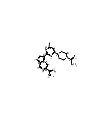 Cc1cc(N2CCN(C(N)=O)CC2)nc(-c2cnc3cnc(C(N)=O)cn23)n1